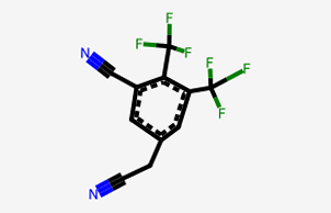 N#CCc1cc(C#N)c(C(F)(F)F)c(C(F)(F)F)c1